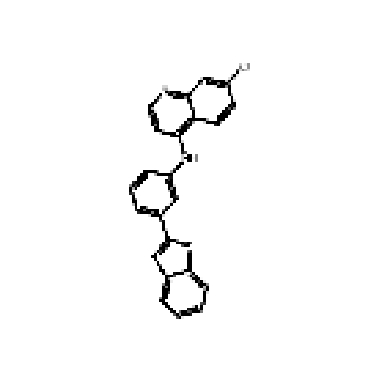 Clc1ccc2c(Nc3cccc(-c4nc5ccccc5s4)c3)ccnc2c1